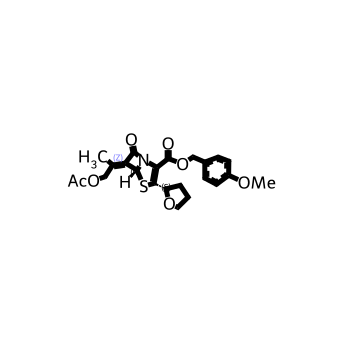 COc1ccc(COC(=O)C2=C([C@@H]3CCCO3)S[C@@H]3/C(=C(/C)COC(C)=O)C(=O)N23)cc1